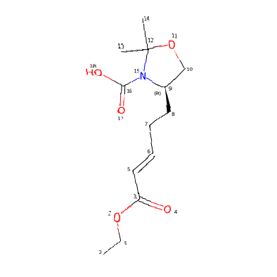 CCOC(=O)C=CCC[C@@H]1COC(C)(C)N1C(=O)O